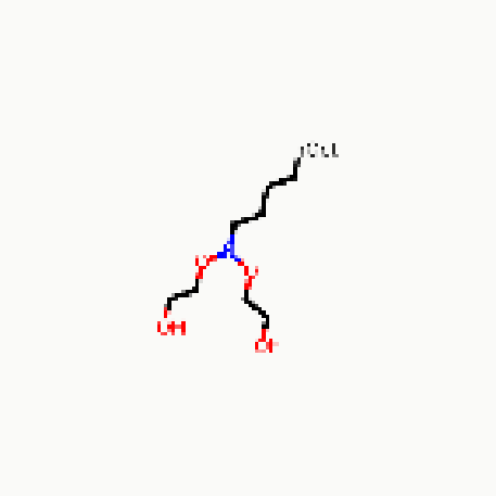 CCCCCCCCCCCCN(OCCO)OCCO